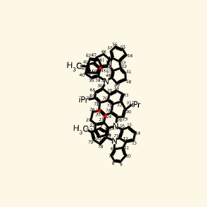 Cc1ccc(-n2c3ccccc3c3cccc(N(c4cccc5c4CCCC5)c4cc(C(C)C)c5ccc6c(N(c7cccc8c7CCCC8)c7cccc8c9ccccc9n(-c9ccc(C)cc9)c78)cc(C(C)C)c7ccc4c5c76)c32)cc1